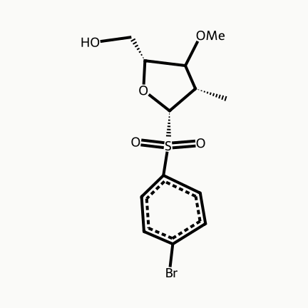 COC1[C@@H](CO)O[C@@H](S(=O)(=O)c2ccc(Br)cc2)[C@H]1C